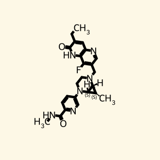 CCc1cc2ncc(CN3CCN(c4ccc(C(=O)NC)nc4)[C@H]4[C@@H](C)[C@H]43)c(F)c2[nH]c1=O